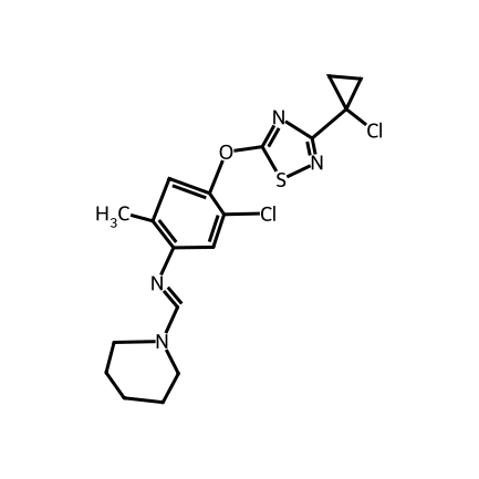 Cc1cc(Oc2nc(C3(Cl)CC3)ns2)c(Cl)cc1/N=C/N1CCCCC1